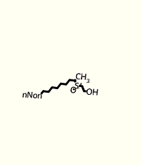 CCCCCCCCCCCCCCCCC(C)[S+]([O-])CCO